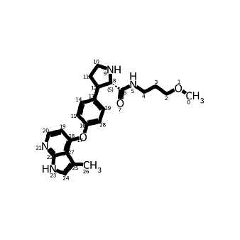 COCCCNC(=O)[C@H]1NCCC1c1ccc(Oc2ccnc3[nH]cc(C)c23)cc1